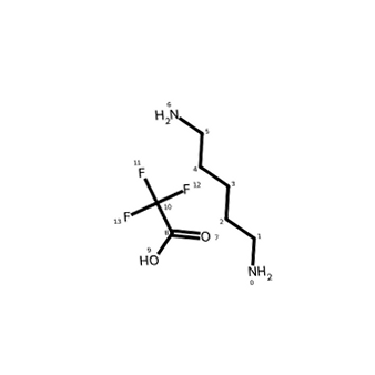 NCCCCCN.O=C(O)C(F)(F)F